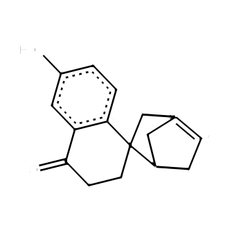 Cc1ccc2c(c1)C(=O)CCC21CC2=CCC1C2